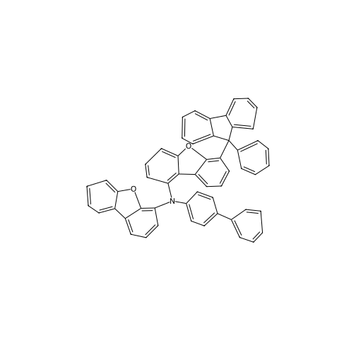 c1ccc(-c2ccc(N(c3cccc4c3oc3ccccc34)c3cccc4oc5c(C6(c7ccccc7)c7ccccc7-c7ccccc76)cccc5c34)cc2)cc1